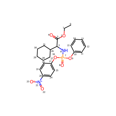 CCOC(=O)C(NP(=O)(Oc1ccccc1)Oc1ccc([N+](=O)[O-])cc1)C1CCCCC1